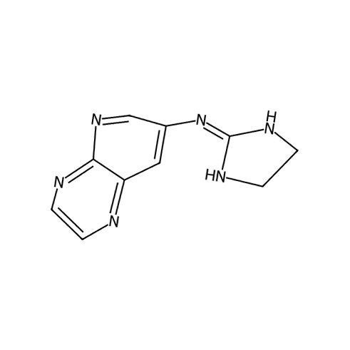 c1cnc2ncc(N=C3NCCN3)cc2n1